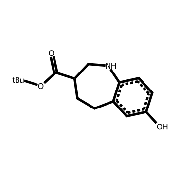 CC(C)(C)OC(=O)C1CCc2cc(O)ccc2NC1